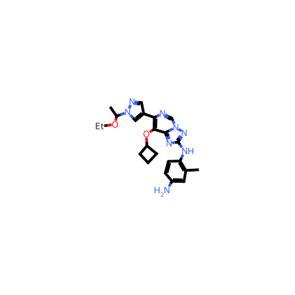 CCOC(C)n1cc(-c2ncn3nc(Nc4ccc(N)cc4C)nc3c2OC2CCC2)cn1